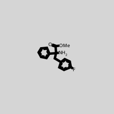 COC(=O)C(N)(Cc1ccc(F)cc1)c1ccccc1